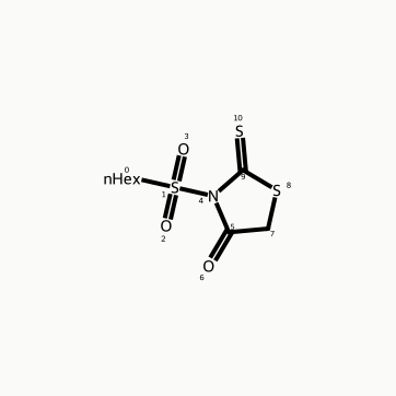 CCCCCCS(=O)(=O)N1C(=O)CSC1=S